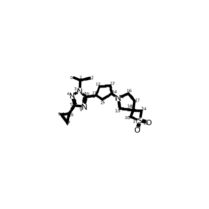 CC(C)n1nc(C2CC2)nc1C1CCC(N2CCC3(C2)CS(=O)(=O)C3)C1